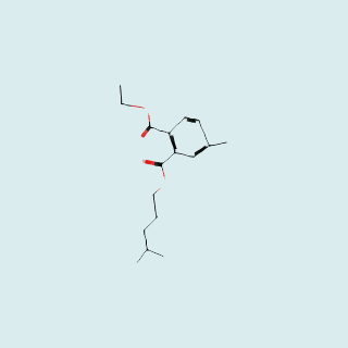 CCOC(=O)c1ccc(C)cc1C(=O)OCCCC(C)C